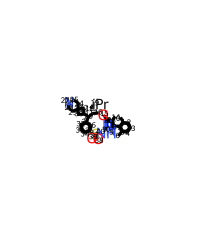 Cc1cccc(C)c1-c1nc2nc(c1C)OC[C@@H](CC(C)C)C(C1CC3(CCN(C)CC3)C1)c1cccc(c1)S(=O)(=O)N2